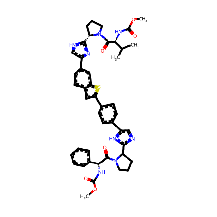 COC(=O)N[C@H](C(=O)N1CCC[C@H]1c1nc(-c2ccc3cc(-c4ccc(-c5cnc(C6CCCN6C(=O)[C@H](NC(=O)OC)c6ccccc6)[nH]5)cc4)sc3c2)c[nH]1)C(C)C